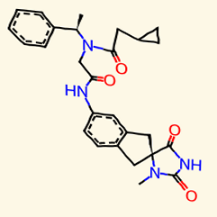 C[C@H](c1ccccc1)N(CC(=O)Nc1ccc2c(c1)C[C@@]1(C2)C(=O)NC(=O)N1C)C(=O)CC1CC1